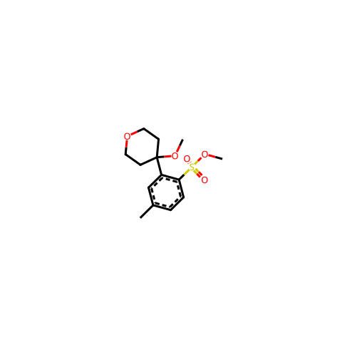 COC1(c2cc(C)ccc2S(=O)(=O)OC)CCOCC1